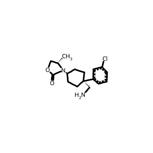 C[C@H]1COC(=O)N1[C@H]1CC[C@](CN)(c2cccc(Cl)c2)CC1